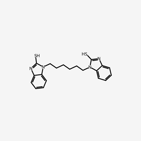 Sc1nc2ccccc2n1CCCCCCn1c(S)nc2ccccc21